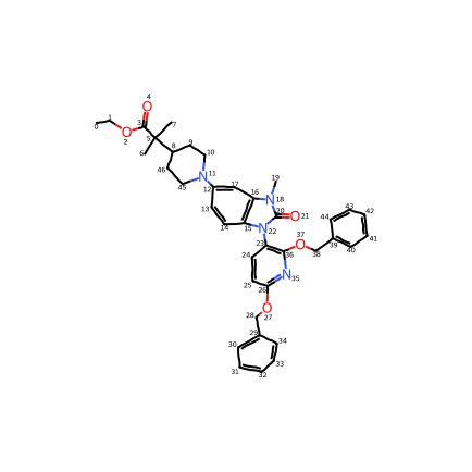 CCOC(=O)C(C)(C)C1CCN(c2ccc3c(c2)n(C)c(=O)n3-c2ccc(OCc3ccccc3)nc2OCc2ccccc2)CC1